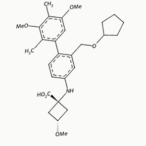 COc1cc(-c2ccc(N[C@]3(C(=O)O)C[C@H](OC)C3)cc2COC2CCCC2)c(C)c(OC)c1C